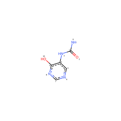 [NH]C(=O)Nc1cncnc1O